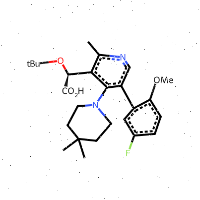 COc1ccc(F)cc1-c1cnc(C)c([C@H](OC(C)(C)C)C(=O)O)c1N1CCC(C)(C)CC1